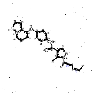 C/C=C\C=C(/C)n1ncc(C(=O)Nc2ccc(Oc3cccn4nccc34)cc2)c1C